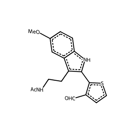 COc1ccc2[nH]c(-c3sccc3C=O)c(CCNC(C)=O)c2c1